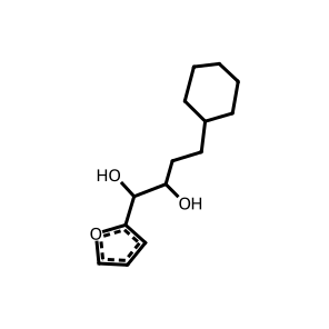 OC(CCC1CCCCC1)C(O)c1ccco1